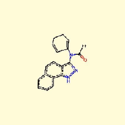 CCC(=O)N(C1=CCCC=C1)c1n[nH]c2c1ccc1ccccc12